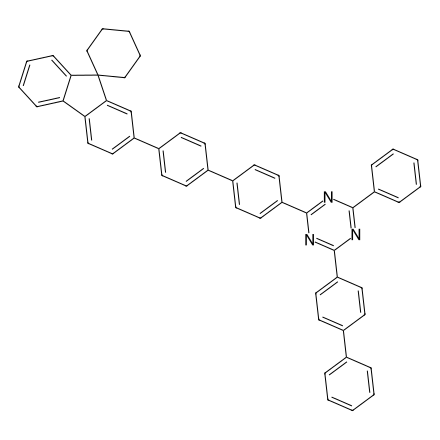 c1ccc(-c2ccc(-c3nc(-c4ccccc4)nc(-c4ccc(-c5ccc(-c6ccc7c(c6)C6(CCCCC6)c6ccccc6-7)cc5)cc4)n3)cc2)cc1